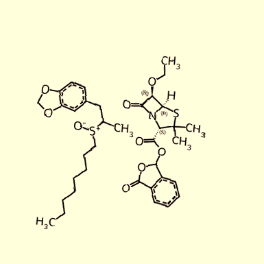 CCCCCCCC[S+]([O-])C(C)Cc1ccc2c(c1)OCO2.CCO[C@@H]1C(=O)N2[C@@H]1SC(C)(C)[C@@H]2C(=O)OC1OC(=O)c2ccccc21